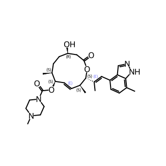 C/C(=C\c1ccc(C)c2[nH]ncc12)[C@H]1OC(=O)C[C@H](O)CC[C@H](C)[C@H](OC(=O)N2CCN(C)CC2)/C=C/[C@@H]1C